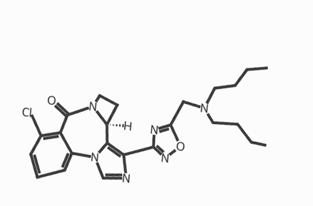 CCCCN(CCCC)Cc1nc(-c2ncn3c2[C@@H]2CCN2C(=O)c2c(Cl)cccc2-3)no1